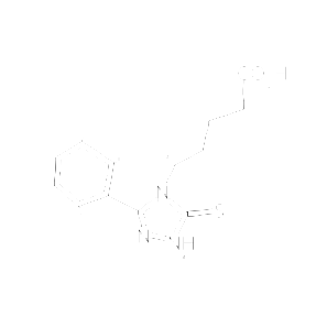 O=C(O)CCCCn1c(-c2ccccc2)n[nH]c1=S